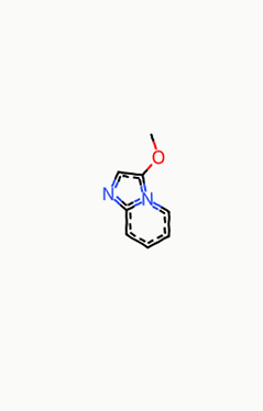 COc1cnc2ccccn12